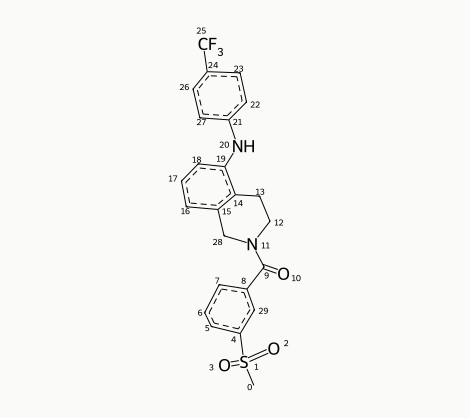 CS(=O)(=O)c1cccc(C(=O)N2CCc3c(cccc3Nc3ccc(C(F)(F)F)cc3)C2)c1